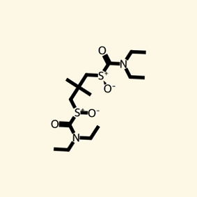 CCN(CC)C(=O)[S+]([O-])CC(C)(C)C[S@@+]([O-])C(=O)N(CC)CC